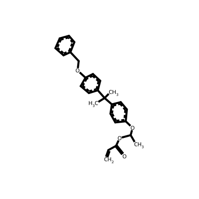 C=CC(=O)OC(C)Oc1ccc(C(C)(C)c2ccc(OCc3ccccc3)cc2)cc1